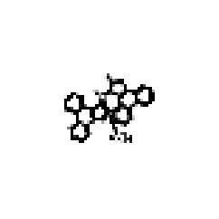 CC1=Cc2c(c3ccccc3c3ccccc23)/[C]1=[Zr](=[C]1/C(C)=Cc2c1c1ccccc1c1ccccc21)\[SiH](C)C